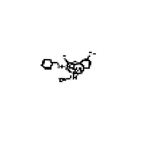 O=C1C[C@]23CCN(CC4CC4)[C@H](Cc4ccc(O)cc42)[C@]3(O)C[C@@H]1NCc1ccccc1